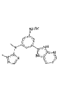 CC(=O)Nc1cc(-c2nc3cccnc3[nH]2)cc(N(C)c2nccn2C)c1